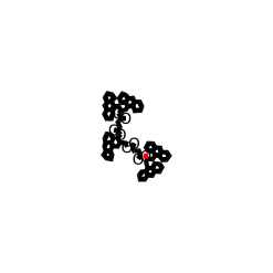 O=C(CCC(=O)OC(Cc1c2ccccc2cc2ccccc12)Cc1c2ccccc2cc2ccccc12)OCC(COC(=O)CCC(=O)OC(Cc1c2ccccc2cc2ccccc12)Cc1c2ccccc2cc2ccccc12)Cc1c2ccccc2cc2ccccc12